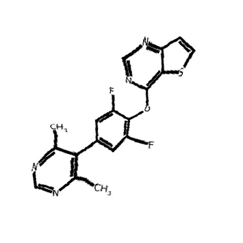 Cc1ncnc(C)c1-c1cc(F)c(Oc2ncnc3ccsc23)c(F)c1